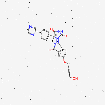 O=C1NC(=O)[C@@](CN2Cc3ccc(OCC#CCO)cc3C2=O)(c2ccc(-c3cnccn3)cc2)N1